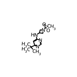 CC(C)(C)c1cc(NC2CN(S(C)(=O)=O)C2)ncn1